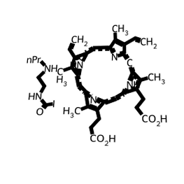 C=CC1=C(C)c2cc3[nH]c(cc4nc(cc5[nH]c(cc1n2)c(C)c5CCC(=O)O)C(CCC(=O)O)=C4C)c(C)c3C=C.CCCNCCNC(=O)I